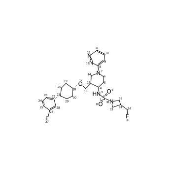 O=S(=O)(NC1CCN(c2cccnn2)CC1CO[C@H]1CC[C@@H](c2cccc(F)c2)CC1)N1CC(CF)C1